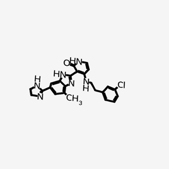 Cc1cc(C2=NCCN2)cc2[nH]c(-c3c(NCCc4cccc(Cl)c4)cc[nH]c3=O)nc12